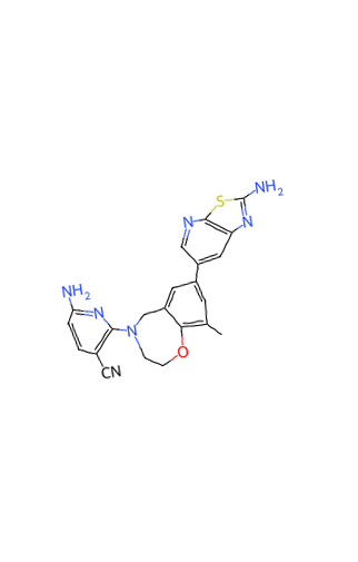 Cc1cc(-c2cnc3sc(N)nc3c2)cc2c1OCCN(c1nc(N)ccc1C#N)C2